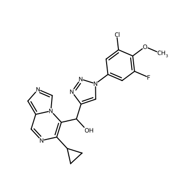 COc1c(F)cc(-n2cc(C(O)c3c(C4CC4)ncc4cncn34)nn2)cc1Cl